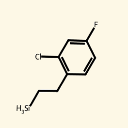 Fc1ccc(CC[SiH3])c(Cl)c1